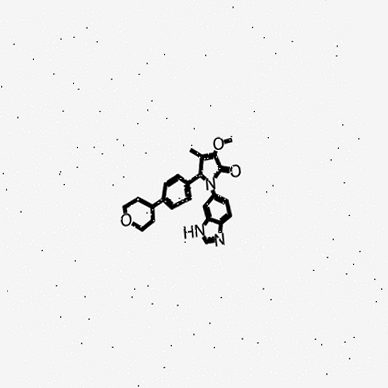 COC1=C(C)C(c2ccc(C3CCOCC3)cc2)N(c2ccc3nc[nH]c3c2)C1=O